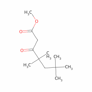 COC(=O)CC(=O)C(C)(C)CC(C)(C)C